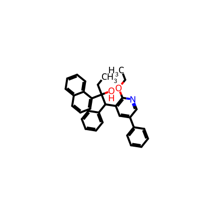 CCOc1ncc(-c2ccccc2)cc1C(c1ccccc1)C(O)(CC)c1cccc2ccccc12